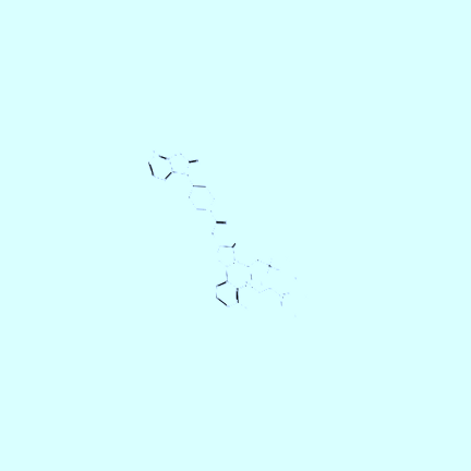 CN(C)CCNc1c(F)cccc1C1S[C@@H](CC(=O)N2CCC(n3c(=O)[nH]c4ncccc43)CC2)C(=O)N1CCC(C)(C)C